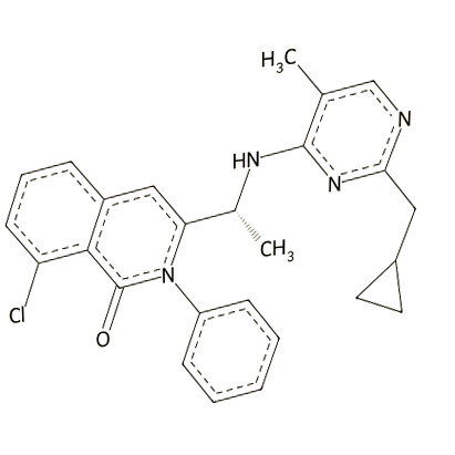 Cc1cnc(CC2CC2)nc1N[C@H](C)c1cc2cccc(Cl)c2c(=O)n1-c1ccccc1